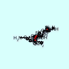 CCc1cc(OCCCCN)ccc1-c1ccc(C[C@H](NC(=O)[C@H](CC(=O)O)NC(=O)[C@H](C)NC(=O)[C@@H](NC(=O)[C@](C)(Cc2ccccc2F)NC(=O)[C@@H](NC(=O)CNC(=O)[C@H](Cc2nn[nH]n2)NC(=O)[C@@]2(C)CCN(CCc3cnc[nH]3)C2=O)[C@@H](C)O)[C@@H](C)O)C(=O)N[C@@H](CCCc2cc(C)cc(C)c2)C(N)=O)cc1